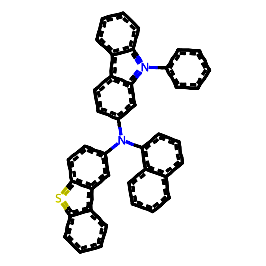 c1ccc(-n2c3ccccc3c3ccc(N(c4ccc5sc6ccccc6c5c4)c4cccc5ccccc45)cc32)cc1